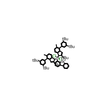 CCC(C)C1=Cc2c(ccc(C)c2-c2cc(C(C)(C)C)cc(C(C)(C)C)c2)[CH]1[Zr]([Cl])([Cl])([c]1cccc2c1[SiH2]c1ccccc1-2)[CH]1C(C(C)CC)=Cc2c1ccc(C)c2-c1cc(C(C)(C)C)cc(C(C)(C)C)c1